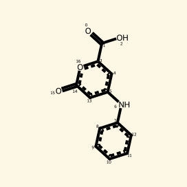 O=C(O)c1cc(Nc2ccccc2)cc(=O)o1